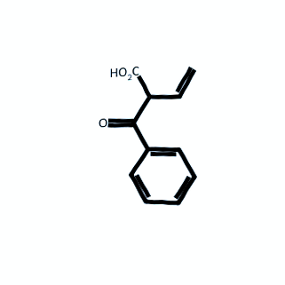 C=CC(C(=O)O)C(=O)c1ccccc1